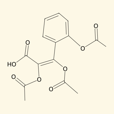 CC(=O)OC(C(=O)O)=C(OC(C)=O)c1ccccc1OC(C)=O